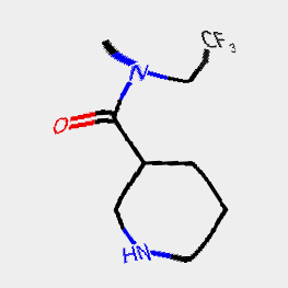 CN(CC(F)(F)F)C(=O)C1CCCNC1